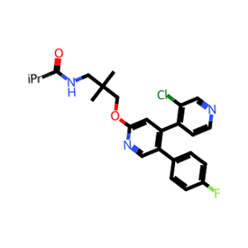 CC(C)C(=O)NCC(C)(C)COc1cc(-c2ccncc2Cl)c(-c2ccc(F)cc2)cn1